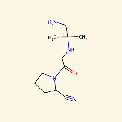 CC(C)(CN)NCC(=O)N1CCCC1C#N